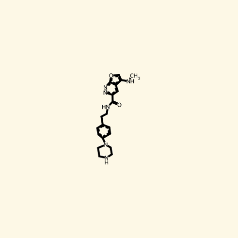 CNc1coc2nnc(C(=O)NCCc3ccc(N4CCNCC4)cc3)cc12